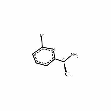 N[C@H](c1cccc(Br)n1)C(F)(F)F